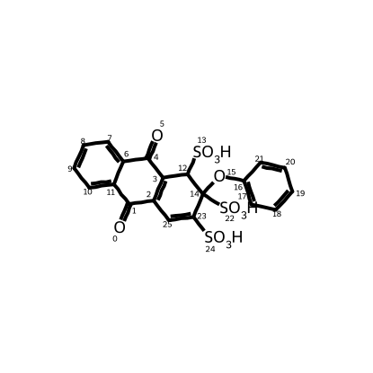 O=C1C2=C(C(=O)c3ccccc31)C(S(=O)(=O)O)C(Oc1ccccc1)(S(=O)(=O)O)C(S(=O)(=O)O)=C2